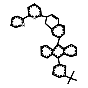 CC(C)(C)c1cccc(-c2c3ccccc3c(-c3ccc4c(c3)CC(c3cccc(-c5ccccn5)n3)C=C4)c3ccccc23)c1